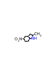 Cc1[c]c2cc([N+](=O)[O-])ccc2[nH]1